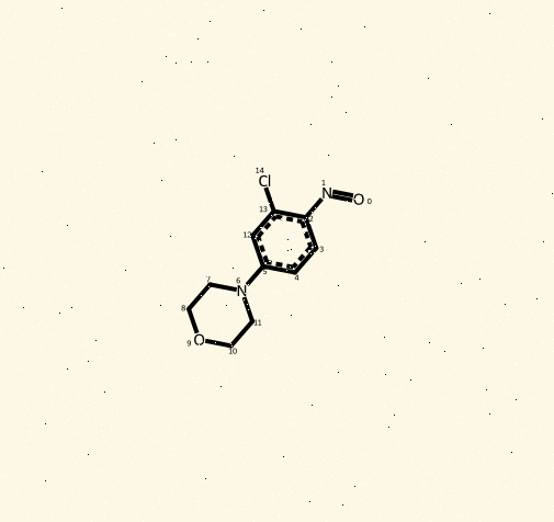 O=Nc1ccc(N2CCOCC2)cc1Cl